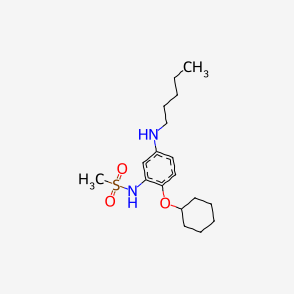 CCCCCNc1ccc(OC2CCCCC2)c(NS(C)(=O)=O)c1